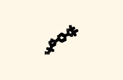 CC(C)(O)c1cn(-c2ccc(B3OC(C)(C)C(C)(C)O3)cn2)nn1